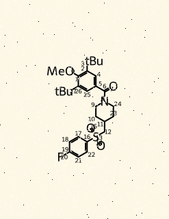 COc1c(C(C)(C)C)cc(C(=O)N2CCC(CS(=O)(=O)c3ccc(F)cc3)CC2)cc1C(C)(C)C